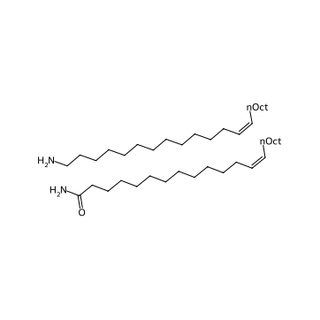 CCCCCCCC/C=C\CCCCCCCCCCCC(N)=O.CCCCCCCC/C=C\CCCCCCCCCCCCN